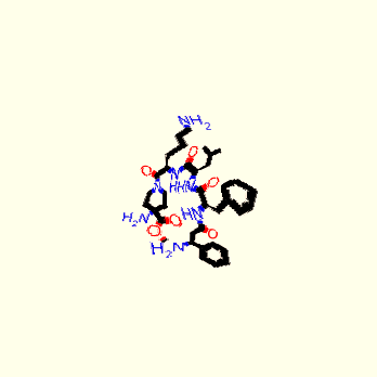 COC(=O)C1(N)CCN(C(=O)[C@@H](CCCCN)NC(=O)[C@@H](CC(C)C)NC(=O)[C@@H](Cc2ccccc2)NC(=O)CC(N)c2ccccc2)CC1